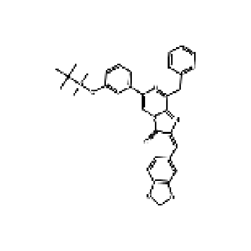 CC(C)(C)[Si](C)(C)Oc1cccc(C2=CN3C(=O)/C(=C\c4ccc5c(c4)OCO5)N=C3C(Cc3ccccc3)=N2)c1